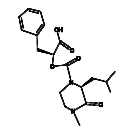 CC(C)C[C@H]1C(=O)N(C)CCN1C(=O)O[C@@H](Cc1ccccc1)C(=O)O